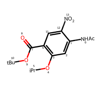 CC(=O)Nc1cc(OC(C)C)c(C(=O)OC(C)(C)C)cc1[N+](=O)[O-]